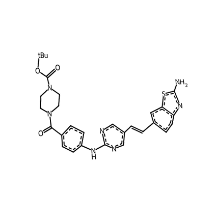 CC(C)(C)OC(=O)N1CCN(C(=O)c2ccc(Nc3ncc(C=Cc4ccc5nc(N)sc5c4)cn3)cc2)CC1